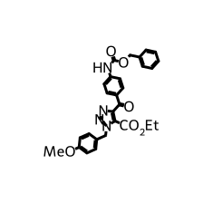 CCOC(=O)c1c(C(=O)c2ccc(NC(=O)OCc3ccccc3)cc2)nnn1Cc1ccc(OC)cc1